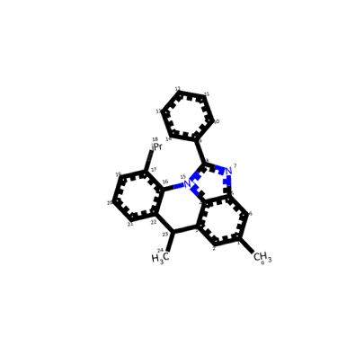 Cc1cc2c3c(c1)nc(-c1ccccc1)n3-c1c(C(C)C)cccc1C2C